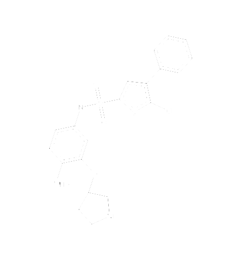 C[C@@]1(Oc2cc(NS(=O)(=O)c3cc(-c4ccccc4)c(Cl)s3)ccc2Cl)CCNC1